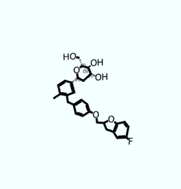 Cc1ccc([C@H]2C[C@@H](O)[C@H](O)[C@@H](CO)O2)cc1Cc1ccc(OCC2Cc3cc(F)ccc3O2)cc1